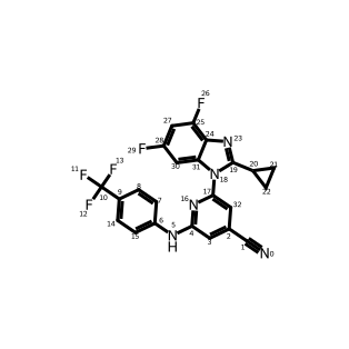 N#Cc1cc(Nc2ccc(C(F)(F)F)cc2)nc(-n2c(C3CC3)nc3c(F)cc(F)cc32)c1